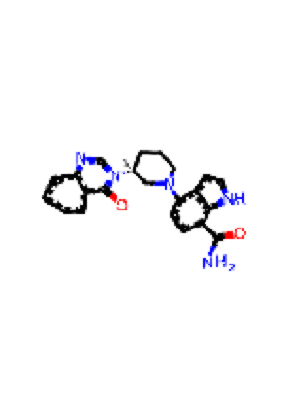 NC(=O)c1ccc(N2CCC[C@@H](n3cnc4ccccc4c3=O)C2)c2cc[nH]c12